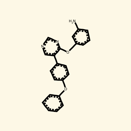 Nc1cccc(Oc2ncncc2-c2ccc(Oc3ccccc3)cc2)c1